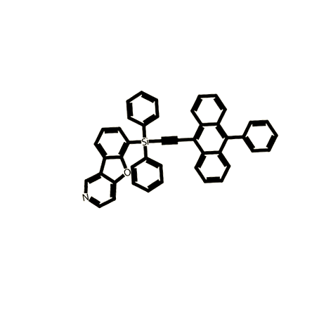 C(#C[Si](c1ccccc1)(c1ccccc1)c1cccc2c1oc1ccncc12)c1c2ccccc2c(-c2ccccc2)c2ccccc12